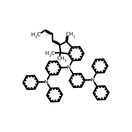 C=C1/C(=C\C=C/C)C(C)(C)c2c1cccc2N(c1cccc(N(c2ccccc2)c2ccccc2)c1)c1cccc(N(c2ccccc2)c2ccccc2)c1